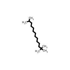 C[C](C)CCCCCCCCCCC(C)(C)C